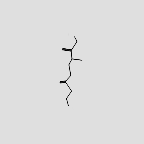 CCCC(=O)CCC(S)C(=O)CC